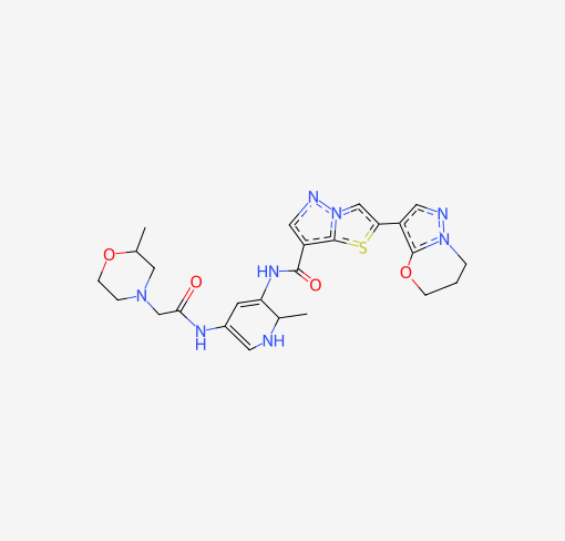 CC1CN(CC(=O)NC2=CNC(C)C(NC(=O)c3cnn4cc(-c5cnn6c5OCCC6)sc34)=C2)CCO1